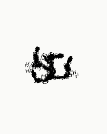 CC(C)N(Cc1cn(CCOCCOCCOc2cc(C(=O)NCc3ccc(C(=O)OCc4ccc(CO)cc4)cc3)cc(OCCOCCOCCn3cc(CN(c4ccc5cc(-c6nc7ccccc7s6)c(=O)oc5c4)C(C)C)nn3)c2OCCOCCOCCn2cc(CN(c3ccc4cc(-c5nc6ccccc6s5)c(=O)oc4c3)C(C)C)nn2)nn1)c1ccc2cc(-c3nc4ccccc4s3)c(=O)oc2c1